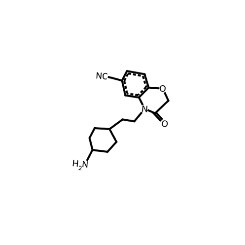 N#Cc1ccc2c(c1)N(CCC1CCC(N)CC1)C(=O)CO2